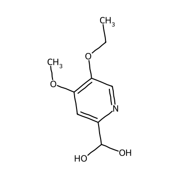 CCOc1cnc(C(O)O)cc1OC